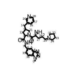 Cn1nnc2cc(CNC(=O)C3CC(Cc4cccnc4)CN3C(=O)C(N)CCCN3CCCC3)ccc21